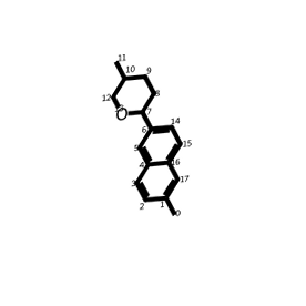 Cc1ccc2cc(C3CCC(C)CO3)ccc2c1